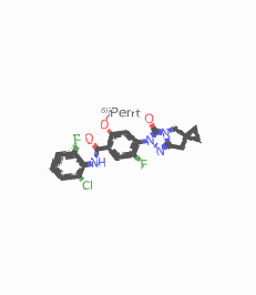 CCC[C@H](C)Oc1cc(-n2nc3n(c2=O)CC2(CC2)C3)c(F)cc1C(=O)Nc1c(F)cccc1Cl